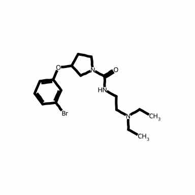 CCN(CC)CCNC(=O)N1CCC(Oc2cccc(Br)c2)C1